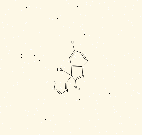 NC1=Nc2ccc(Cl)cc2C1(O)c1nccs1